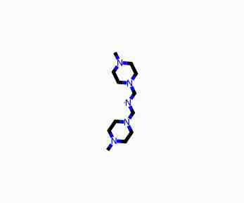 CN1CCN(C[N]CN2CCN(C)CC2)CC1